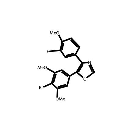 COc1ccc(-c2ncoc2-c2cc(OC)c(Br)c(OC)c2)cc1F